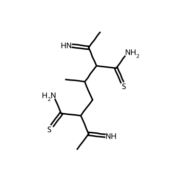 CC(=N)C(CC(C)C(C(C)=N)C(N)=S)C(N)=S